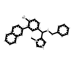 Cn1cncc1C(OCc1ccccc1)c1ccc(C#N)c(-c2ccc3ccccc3c2)c1